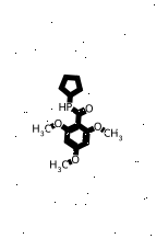 COc1cc(OC)c(C(=O)PC2CCCC2)c(OC)c1